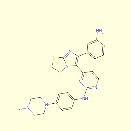 CN1CCN(c2ccc(Nc3nccc(-c4c(-c5cccc(N)c5)nc5n4CCS5)n3)cc2)CC1